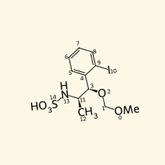 COCO[C@H](c1ccccc1I)[C@@H](C)NS(=O)(=O)O